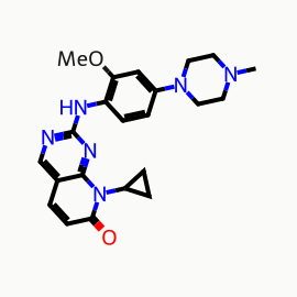 COc1cc(N2CCN(C)CC2)ccc1Nc1ncc2ccc(=O)n(C3CC3)c2n1